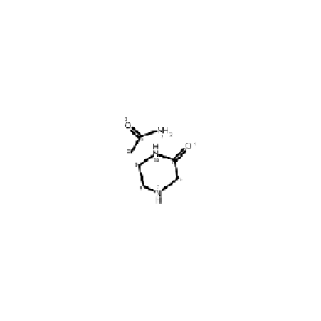 CC(N)=O.O=C1CNCCN1